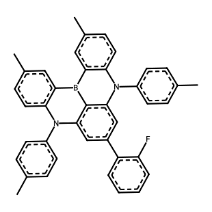 Cc1ccc(N2c3ccc(C)cc3B3c4cc(C)ccc4N(c4ccc(C)cc4)c4cc(-c5ccccc5F)cc2c43)cc1